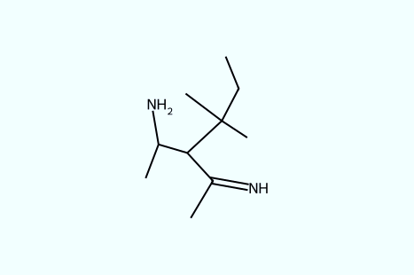 CCC(C)(C)C(C(C)=N)C(C)N